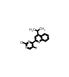 CC(C)c1cc(-c2nc(Cl)ncc2F)nc2ccccc12